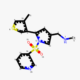 CCNCc1cc(-c2cscc2C)n(S(=O)(=O)c2cccnc2)c1